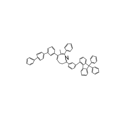 CC1=C(c2ccccc2)/N=C(/c2cccc(-c3cccc4c3-c3ccccc3C4(c3ccccc3)c3ccccc3)c2)CC/C=C\1c1cccc(-c2ccc(-c3ccccc3)cc2)c1